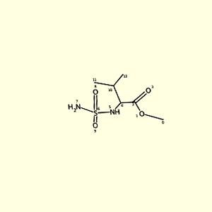 COC(=O)C(NS(N)(=O)=O)C(C)C